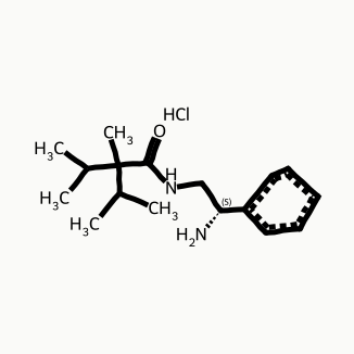 CC(C)C(C)(C(=O)NC[C@@H](N)c1ccccc1)C(C)C.Cl